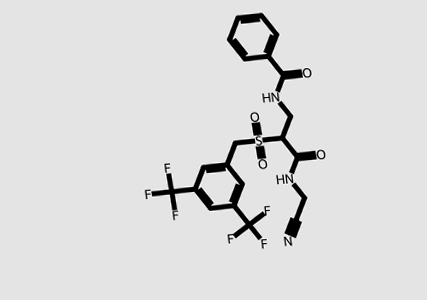 N#CCNC(=O)C(CNC(=O)c1ccccc1)S(=O)(=O)Cc1cc(C(F)(F)F)cc(C(F)(F)F)c1